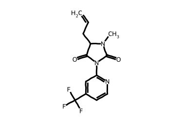 C=CCC1C(=O)N(c2cc(C(F)(F)F)ccn2)C(=O)N1C